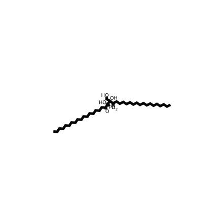 CCCCCCCCCCCCCCCCCC(=O)C(O)(P)C(O)(CO)C(=O)CCCCCCCCCCCCCCCCC